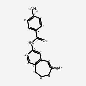 CC(=O)C1=Cc2cc(NC(=O)c3ccc(N)cc3)ncc2CCC1